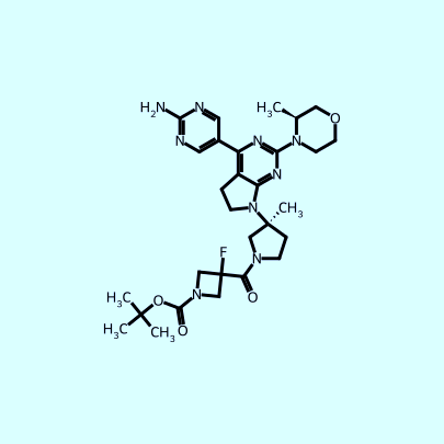 C[C@H]1COCCN1c1nc(-c2cnc(N)nc2)c2c(n1)N([C@@]1(C)CCN(C(=O)C3(F)CN(C(=O)OC(C)(C)C)C3)C1)CC2